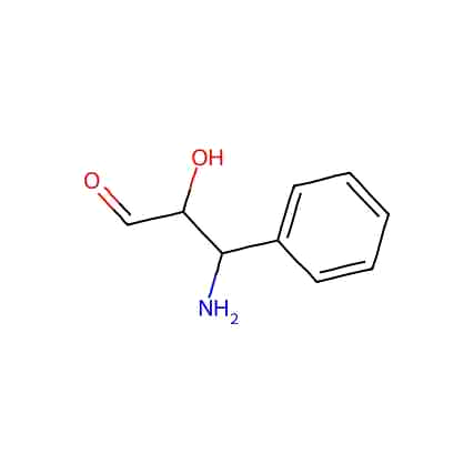 NC(c1ccccc1)C(O)C=O